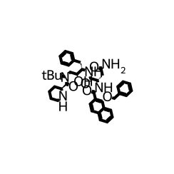 CC(C)(C)N(C[C@@H](O)[C@H](Cc1ccccc1)NC(=O)[C@H](CC(N)=O)NC(=O)c1ccc2ccccc2c1OCc1ccccc1)C(=O)[C@@H]1CCCCN1